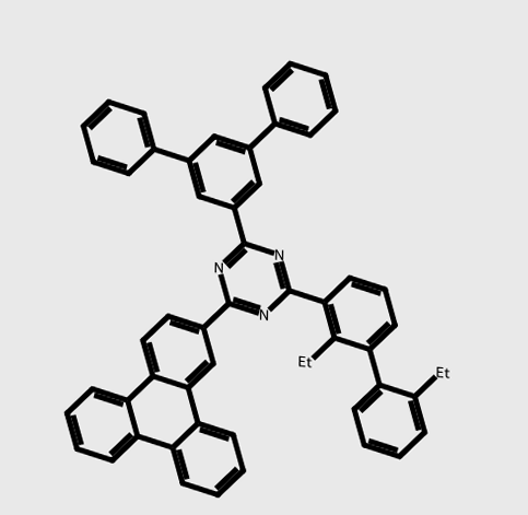 CCc1ccccc1-c1cccc(-c2nc(-c3cc(-c4ccccc4)cc(-c4ccccc4)c3)nc(-c3ccc4c5ccccc5c5ccccc5c4c3)n2)c1CC